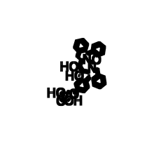 O=C1N(Cc2ccccc2)[C@H](Cc2ccccc2)[C@H](O)[C@@H](O)[C@@H](Cc2ccc(OCP(=O)(O)O)cc2)N1Cc1ccccc1